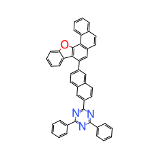 c1ccc(-c2nc(-c3ccccc3)nc(-c3ccc4cc(-c5cc6ccc7ccccc7c6c6oc7ccccc7c56)ccc4c3)n2)cc1